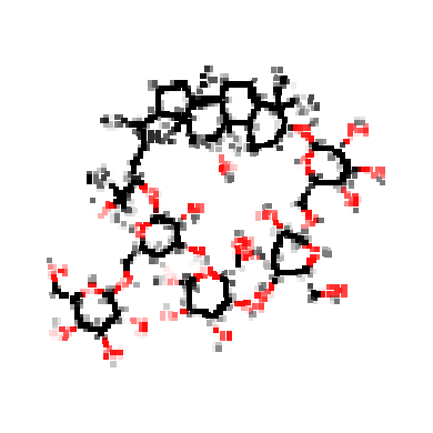 C[C@H](CC[C@@H](O[C@@H]1O[C@H](CO[C@@H]2O[C@H](CO)[C@@H](O)[C@H](O)[C@H]2O)[C@@H](O[C@@H]2O[C@H](CO)[C@@H](O)[C@H](O)[C@H]2O)[C@H](O)[C@H]1O)C(C)(C)O)C1CC[C@@]2(C)C3CC=C4C(CC[C@H](O[C@@H]5O[C@H](CO[C@@H]6O[C@H](CO)[C@@H](O)[C@H](O)[C@H]6O)[C@@H](O)[C@H](O)[C@H]5O)C4(C)C)[C@]3(C)[C@H](O)C[C@]12C